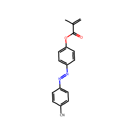 C=C(C)C(=O)Oc1ccc(N=Nc2ccc(C#N)cc2)cc1